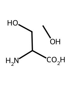 CO.NC(CO)C(=O)O